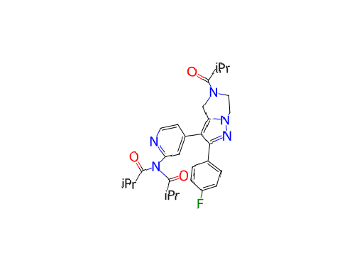 CC(C)C(=O)N1CCn2nc(-c3ccc(F)cc3)c(-c3ccnc(N(C(=O)C(C)C)C(=O)C(C)C)c3)c2C1